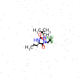 CCC[C@@H](NC(=O)OC(C)(C)C)C(=O)NCC(F)(F)F